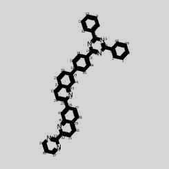 c1ccc(-c2nc(-c3ccccc3)nc(-c3ccc(-c4ccc5ccc(-c6ccc7ccc(-c8ncccn8)nc7c6)nc5c4)cc3)n2)cc1